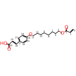 C=CC(=O)OCCCCCCCCOc1ccc(C=CC(=O)O)cc1